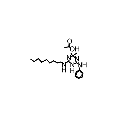 CC(=O)O.CCCCCCCCCNC1=NC(C)(C)N=C(Nc2ccccc2)N1